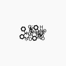 CN1C(=O)C(N(C(=O)Nc2c(C(=O)NS(C)(=O)=O)cccc2[N+](=O)[O-])c2cccc(N(C=O)S(C)(=O)=O)c2)N=C(c2ccccc2)c2ccccc21